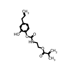 C=CCc1ccc(OC(=O)NCCOC(=O)C(=C)C)c(O)c1